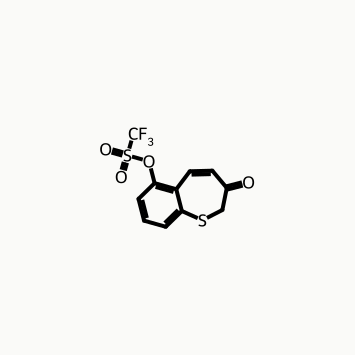 O=C1C=Cc2c(OS(=O)(=O)C(F)(F)F)cccc2SC1